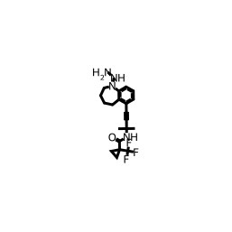 CC(C)(C#Cc1cccc2c1CCCCN2NN)NC(=O)C1(C(F)(F)F)CC1